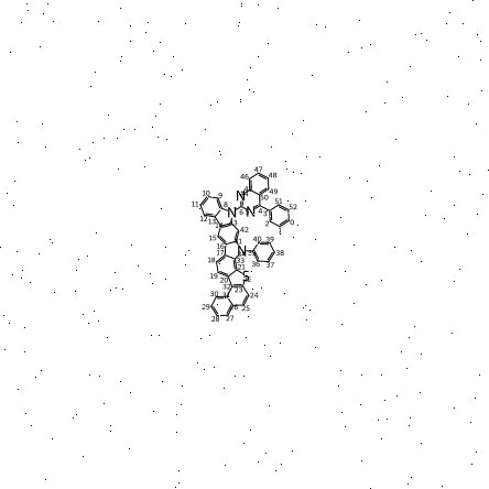 c1ccc(-c2nc(-n3c4ccccc4c4cc5c6ccc7c(sc8ccc9ccccc9c87)c6n(-c6ccccc6)c5cc43)nc3ccccc23)cc1